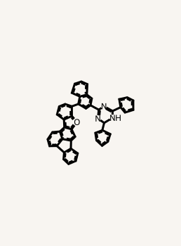 c1ccc(C2=NC(c3cc(-c4cccc5c4oc4cc6c7c(cccc7c45)-c4ccccc4-6)c4ccccc4c3)=NC(c3ccccc3)N2)cc1